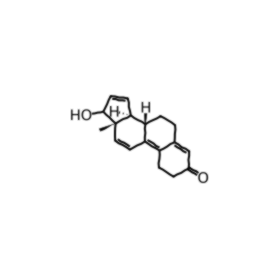 C[C@]12C=CC3=C4CCC(=O)C=C4CC[C@H]3[C@@H]1C=CC2O